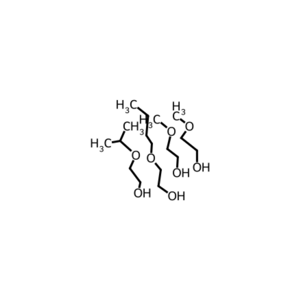 CC(C)OCCO.CCCCOCCO.COCCO.COCCO